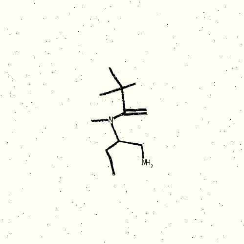 C=C(N(C)C(CC)CN)C(C)(C)C